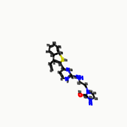 C=Cc1c(-c2ccnc(NCCN3CCNC3=O)n2)sc2ccccc12